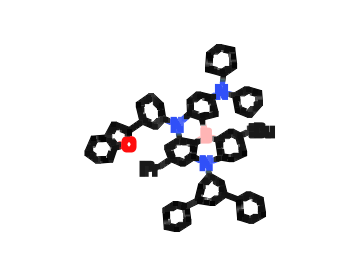 CC(C)c1cc2c3c(c1)N(c1cc(-c4ccccc4)cc(-c4ccccc4)c1)c1ccc(C(C)(C)C)cc1B3c1cc(N(c3ccccc3)c3ccccc3)ccc1N2c1cccc(-c2cc3ccccc3o2)c1